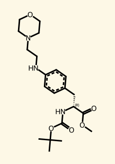 COC(=O)[C@@H](Cc1ccc(NCCN2CCOCC2)cc1)NC(=O)OC(C)(C)C